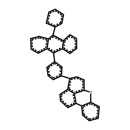 c1ccc(-c2c3ccccc3c(-c3cccc(-c4ccc5c6c(cccc46)-c4ccccc4O5)c3)c3ccccc23)cc1